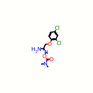 CN(C)C(=O)ON=C(N)COc1ccc(Cl)cc1Cl